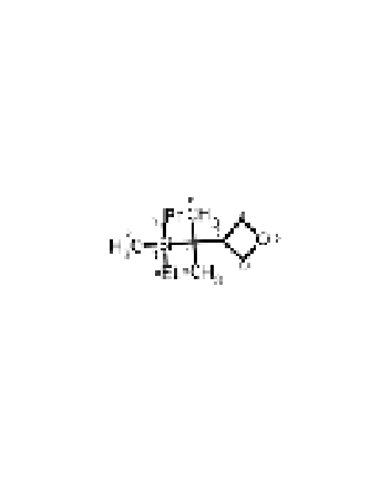 CC[Si](C)(C(C)C)C(C)(C)C1COC1